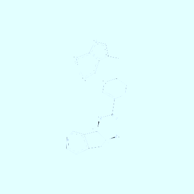 Cc1c[nH]c2ncnc(N3C=C(C(=O)N[C@@H]4c5ccccc5C[C@@H]4N)SCC3)c12